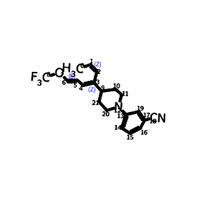 C\C=C/C(=C\C=C\OC(F)(F)F)C1CCN(c2cccc(C#N)c2)CC1